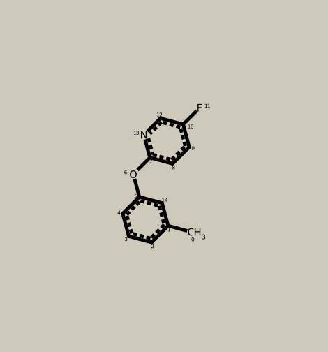 Cc1cccc(Oc2ccc(F)cn2)c1